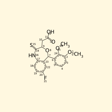 COc1cccc(C2OC(CC(=O)O)C(=S)Nc3ccc(F)cc32)c1OC